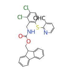 O=Cc1cccnc1Sc1ccc(Cl)c(Cl)c1CNC(=O)OCC1c2ccccc2-c2ccccc21